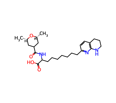 C[C@@H]1CC(C(=O)NC(CCCCCCCc2ccc3c(n2)NCCC3)C(=O)O)C[C@H](C)O1